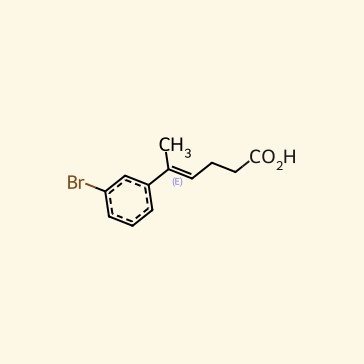 C/C(=C\CCC(=O)O)c1cccc(Br)c1